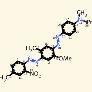 COc1cc(/N=N/c2ccc(C)cc2[N+](=O)[O-])c(C)cc1/N=N/c1ccc(N(C)C(C)C)cc1